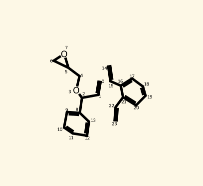 C=CC(OCC1CO1)c1ccccc1.C=Cc1ccccc1C=C